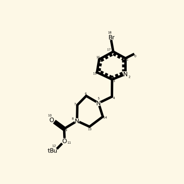 Cc1nc(CN2CCN(C(=O)OC(C)(C)C)CC2)ccc1Br